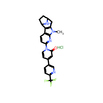 Cl.Cn1c2c(c3ccc(-n4ccc(-c5ccc(C(F)(F)F)nc5)cc4=O)nc31)C1CCC(C2)N1